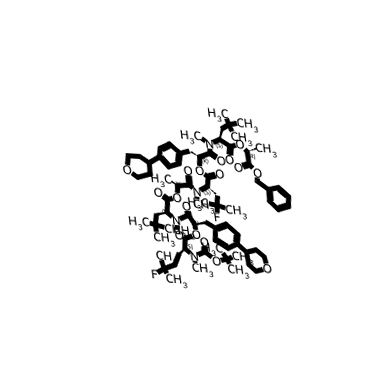 C[C@@H](OC(=O)[C@H](CC(C)(C)C)N(C)C(=O)[C@@H](Cc1ccc(C2CCOCC2)cc1)OC(=O)[C@H](CC(C)(C)F)N(C)C(=O)[C@@H](C)OC(=O)[C@H](CC(C)(C)C)N(C)C(=O)[C@@H](Cc1ccc(C2CCOCC2)cc1)OC(=O)[C@H](CCC(C)(C)F)N(C)C(=O)OC(C)(C)C)C(=O)OCc1ccccc1